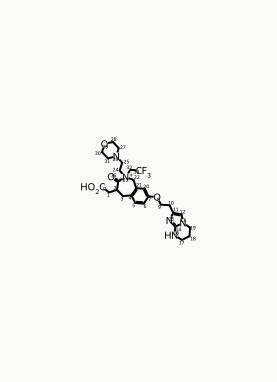 O=C(O)CC1Cc2ccc(OCCc3cn4c(n3)NCCC4)cc2C[N+](CCN2CCOCC2)(CC(F)(F)F)C1=O